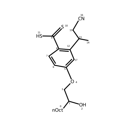 CCCCCCCCC(O)COc1ccc(C(=S)S)c(C(C)CC#N)c1